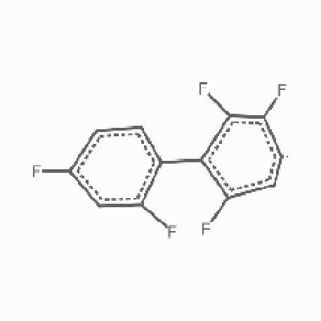 Fc1ccc(-c2c(F)c[c]c(F)c2F)c(F)c1